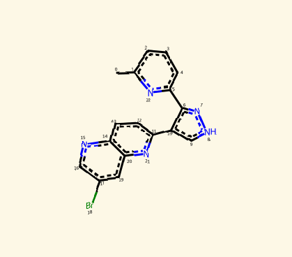 Cc1cccc(-c2n[nH]cc2-c2ccc3ncc(Br)cc3n2)n1